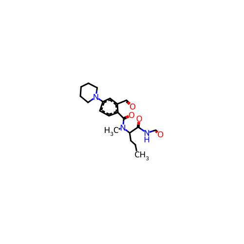 CCCC(C(=O)NC=O)N(C)C(=O)c1ccc(N2CCCCC2)cc1C=O